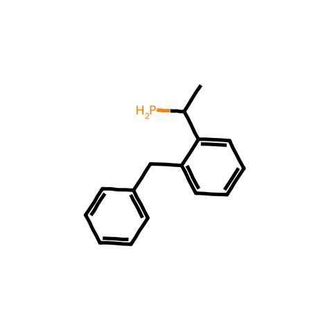 CC(P)c1ccccc1Cc1ccccc1